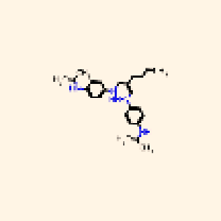 CCCCC1=CN(c2ccc(NC(C)C)cc2)NN(c2ccc(NC(C)C)cc2)C1